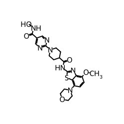 COc1ccc(N2CCOCC2)c2sc(NC(=O)C3CCN(c4ncc(C(=O)NO)cn4)CC3)nc12